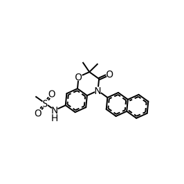 CC1(C)Oc2cc(NS(C)(=O)=O)ccc2N(c2ccc3ccccc3c2)C1=O